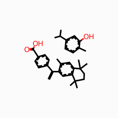 C=C(c1ccc(C(=O)O)cc1)c1cc2c(cc1C)C(C)(C)CCC2(C)C.Cc1ccc(C(C)C)cc1O